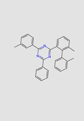 Cc1cccc(-c2nc(-c3ccccc3)nc(-c3cccc(C)c3-c3ccccc3C)n2)c1